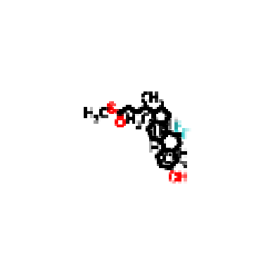 COC(=O)CC[C@@H](C)C1CC[C@H]2[C@H]3[C@H](CC[C@]12C)[C@@]1(C)CC[C@@H](O)C[C@H]1CC3(F)F